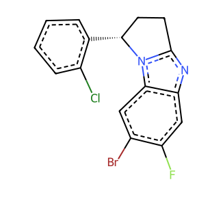 Fc1cc2nc3n(c2cc1Br)[C@H](c1ccccc1Cl)CC3